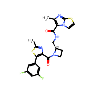 Cc1nc(C(=O)N2CC[C@@H]2CNC(=O)c2c(C)nc3sccn23)c(-c2cc(F)cc(F)c2)s1